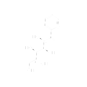 O=C(c1cccc[o+]1)[C@H](O)[C@@H](O)[C@H](O)[C@H](O)CO